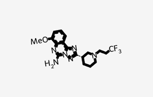 COc1cccc2c1nc(N)n1nc([C@H]3CCCN(CCC(F)(F)F)C3)nc21